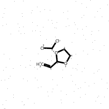 C=CC1OCCO1.ClCCl